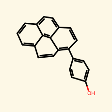 Oc1ccc(-c2ccc3ccc4cccc5ccc2c3c45)cc1